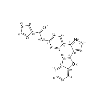 O=C(Nc1ccc(-c2n[nH]cc2-c2nc3ccccc3o2)cc1)c1ccsc1